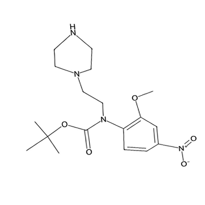 COc1cc([N+](=O)[O-])ccc1N(CCN1CCNCC1)C(=O)OC(C)(C)C